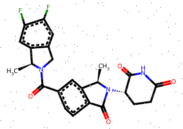 C[C@@H]1c2cc(C(=O)N3Cc4cc(F)c(F)cc4[C@@H]3C)ccc2C(=O)N1[C@H]1CCC(=O)NC1=O